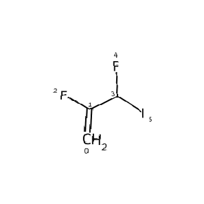 C=C(F)C(F)I